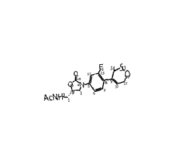 CC(=O)NC[C@H]1CN(c2ccc(C3=CCOSC3)c(F)c2)C(=O)O1